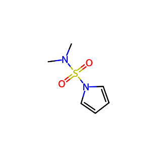 CN(C)S(=O)(=O)n1cccc1